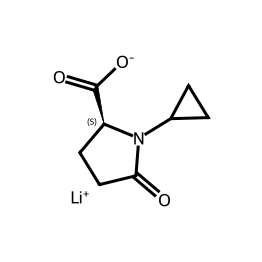 O=C([O-])[C@@H]1CCC(=O)N1C1CC1.[Li+]